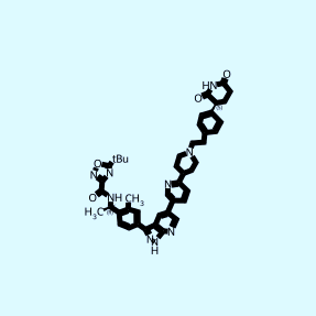 Cc1cc(-c2n[nH]c3ncc(-c4ccc(C5CCN(CCc6ccc([C@@H]7CCC(=O)NC7=O)cc6)CC5)nc4)cc23)ccc1[C@@H](C)NC(=O)c1noc(C(C)(C)C)n1